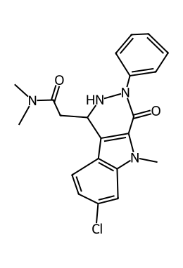 CN(C)C(=O)CC1NN(c2ccccc2)C(=O)c2c1c1ccc(Cl)cc1n2C